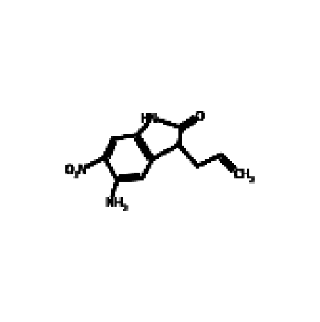 C=CCC1C(=O)Nc2cc([N+](=O)[O-])c(N)cc21